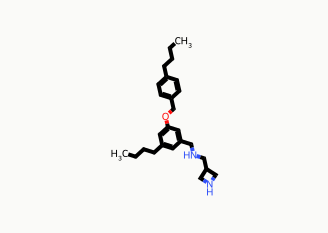 CCCCc1ccc(COc2cc(CCCC)cc(CNCC3CNC3)c2)cc1